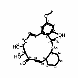 COc1cc(O)c2c(c1)/C=C/C[C@H](O)[C@H](O)C(=O)/C=C\C1CCCCC1OC2=O